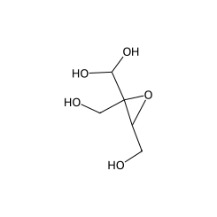 OCC1OC1(CO)C(O)O